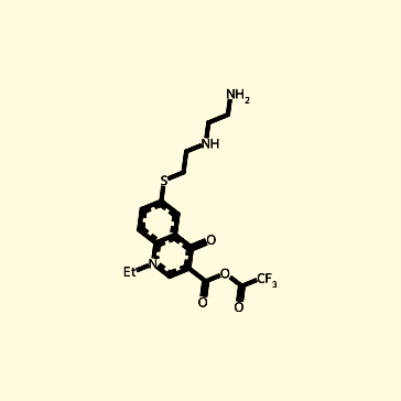 CCn1cc(C(=O)OC(=O)C(F)(F)F)c(=O)c2cc(SCCNCCN)ccc21